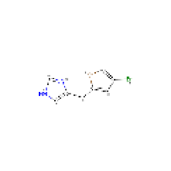 Brc1csc(Cc2c[nH]cn2)c1